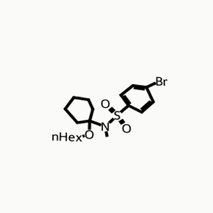 [CH2]CCCCCOC1(N(C)S(=O)(=O)c2ccc(Br)cc2)CCCCC1